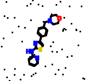 c1ccc(Nc2nc(-c3ccc(CN4CCOCC4)cc3)cs2)nc1